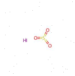 I.O=S(=O)=O